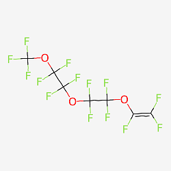 FC(F)=C(F)OC(F)(F)C(F)(F)OC(F)(F)C(F)(F)OC(F)(F)F